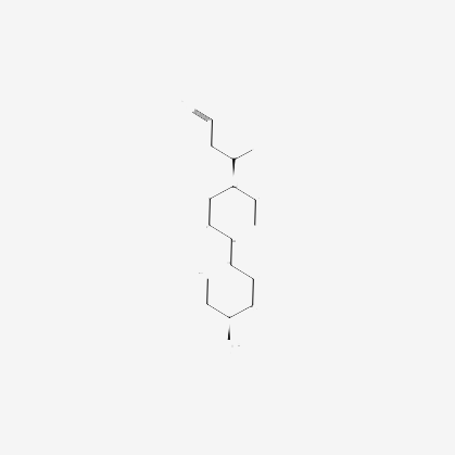 C=CCC(C(=O)O)[C@H]1CC[C@H]([C@H]2CC[C@H](CCCC)CC2)CC1